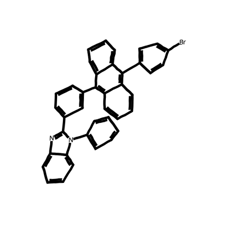 Brc1ccc(-c2c3ccccc3c(-c3cccc(-c4nc5ccccc5n4-c4ccccc4)c3)c3ccccc23)cc1